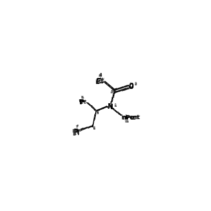 CCCCCN(C(=O)CC)C(CC(C)C)C(C)C